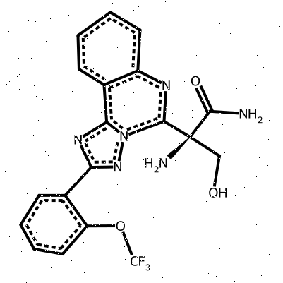 NC(=O)[C@](N)(CO)c1nc2ccccc2c2nc(-c3ccccc3OC(F)(F)F)nn12